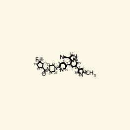 Cn1cc(-c2cc(-c3ccc(N4CCN(C(=O)C5CCC(F)(F)C5)CC4)nc3)c3c(C#N)cnn3c2)cn1